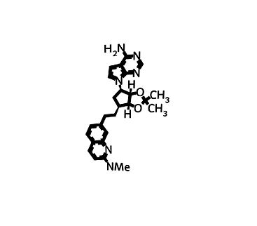 CNc1ccc2ccc(CC[C@H]3C[C@@H](n4ccc5c(N)ncnc54)[C@@H]4OC(C)(C)O[C@H]34)cc2n1